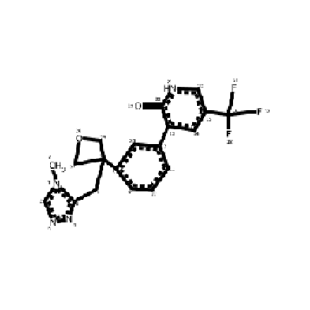 Cn1cnnc1CC1(c2cccc(-c3cc(C(F)(F)F)c[nH]c3=O)c2)COC1